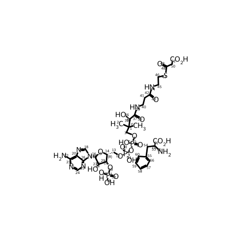 CC(C)(COP(=O)(O)OP(=O)(O)OC[C@H]1O[C@@H](n2cnc3c(N)ncnc32)[C@H](O)[C@@H]1OP(=O)(O)O)[C@@H](O)C(=O)NCCC(=O)NCCSC(=O)CC(=O)O.N[C@@H](Cc1ccccc1)C(=O)O